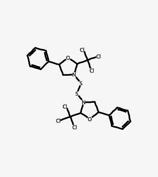 ClC(Cl)(Cl)C1OC(c2ccccc2)CN1SSN1CC(c2ccccc2)OC1C(Cl)(Cl)Cl